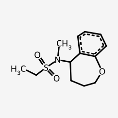 CCS(=O)(=O)N(C)C1CCCOc2ccccc21